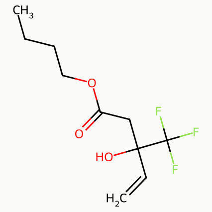 C=CC(O)(CC(=O)OCCCC)C(F)(F)F